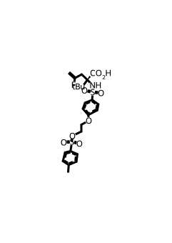 C=C(F)C[C@@](NS(=O)(=O)c1ccc(OCCOS(=O)(=O)c2ccc(C)cc2)cc1)(C(=O)O)C(C)(C)C